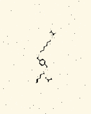 C/C=C/C=C/C(O/N=C\c1ccc(/C=N\OCCCCCCO/N=C(/C)C(=O)P)cc1)O/N=C(/C)C(=O)P